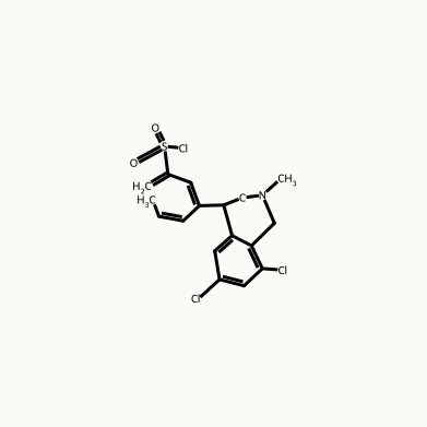 C=C(/C=C(\C=C/C)C1CN(C)Cc2c(Cl)cc(Cl)cc21)S(=O)(=O)Cl